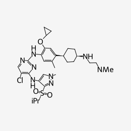 CNCCN[C@H]1CC[C@@H](c2cc(OC3CC3)c(Nc3ncc(Cl)c(Nc4cn(C)nc4S(=O)(=O)C(C)C)n3)cc2C)CC1